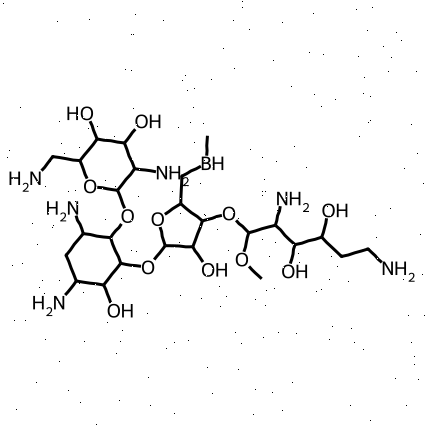 CBCC1OC(OC2C(O)C(N)CC(N)C2OC2OC(CN)C(O)C(O)C2N)C(O)C1OC(OC)C(N)C(O)C(O)CCN